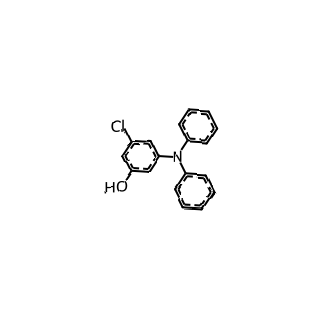 Oc1cc(Cl)cc(N(c2ccccc2)c2ccccc2)c1